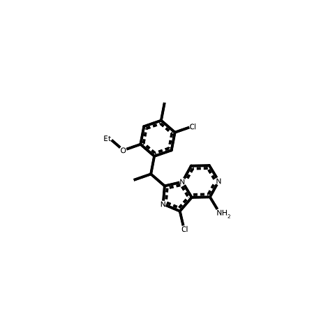 CCOc1cc(C)c(Cl)cc1C(C)c1nc(Cl)c2c(N)nccn12